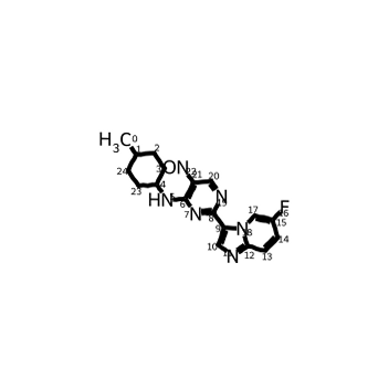 CC1CCC(Nc2nc(-c3cnc4ccc(F)cn34)ncc2N=O)CC1